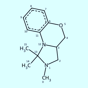 CN1CC2COc3ccccc3N2C1(C)C